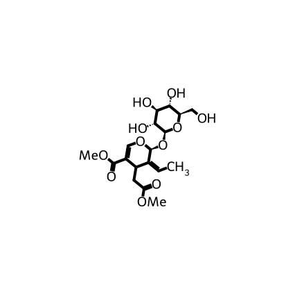 C/C=C1/C(CC(=O)OC)C(C(=O)OC)=CO[C@H]1O[C@@H]1O[C@H](CO)[C@@H](O)[C@H](O)[C@H]1O